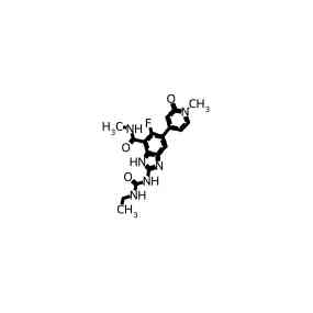 CCNC(=O)Nc1nc2cc(-c3ccn(C)c(=O)c3)c(F)c(C(=O)NC)c2[nH]1